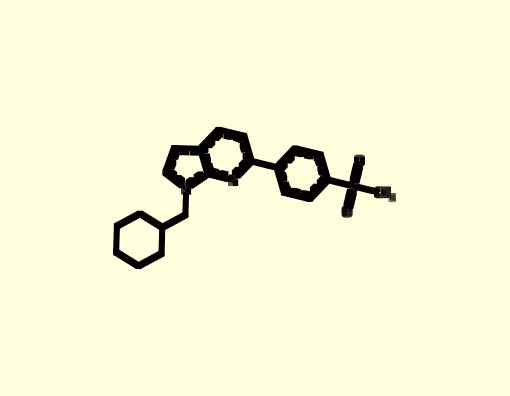 CS(=O)(=O)c1ccc(-c2ccc3ccn(CC4CCCCC4)c3n2)cc1